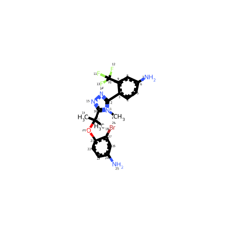 Cn1c(-c2ccc(N)cc2C(F)(F)F)nnc1C(C)(C)Oc1ccc(N)cc1Br